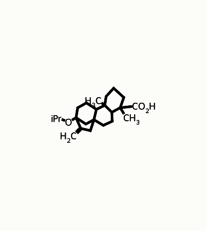 C=C1CC23CCC4C(C)(C(=O)O)CCCC4(C)C2CCC1(OC(C)C)C3